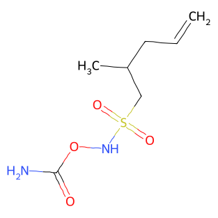 C=CCC(C)CS(=O)(=O)NOC(N)=O